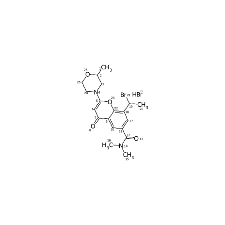 Br.CC1CN(c2cc(=O)c3cc(C(=O)N(C)C)cc(C(C)Br)c3o2)CCO1